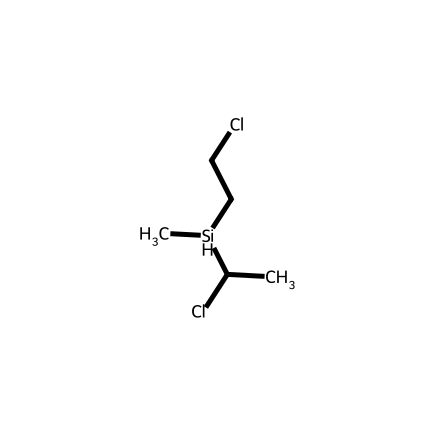 CC(Cl)[SiH](C)CCCl